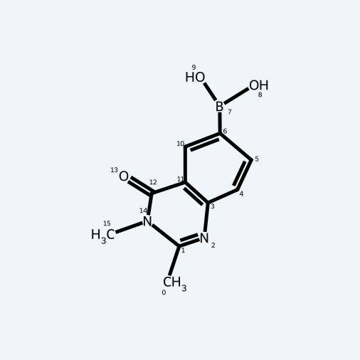 Cc1nc2ccc(B(O)O)cc2c(=O)n1C